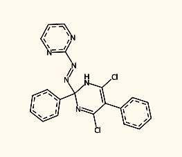 ClC1=NC(N=Nc2ncccn2)(c2ccccc2)NC(Cl)=C1c1ccccc1